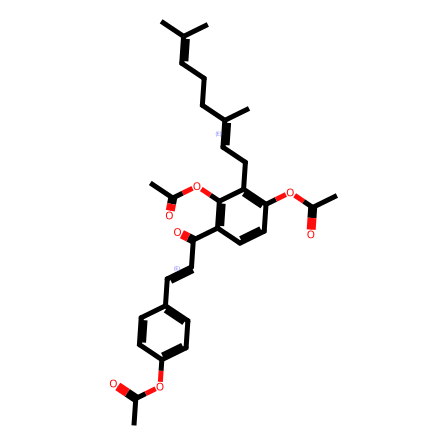 CC(=O)Oc1ccc(/C=C/C(=O)c2ccc(OC(C)=O)c(C/C=C(\C)CCC=C(C)C)c2OC(C)=O)cc1